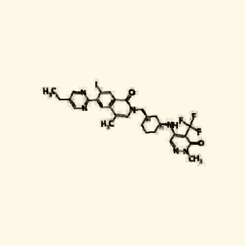 CCc1cnc(-c2cc3c(C)cn(C[C@@H]4CCC[C@H](Nc5cnn(C)c(=O)c5C(F)(F)F)C4)c(=O)c3cc2I)nc1